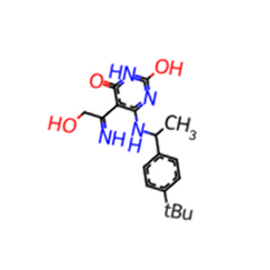 CC(Nc1nc(O)[nH]c(=O)c1C(=N)CO)c1ccc(C(C)(C)C)cc1